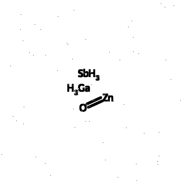 [GaH3].[O]=[Zn].[SbH3]